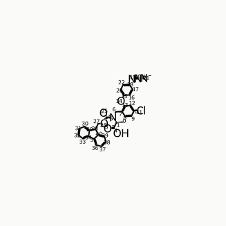 C[C@@H](C(=O)O)N(Cc1ccc(Cl)cc1Oc1ccc(N=[N+]=[N-])cc1)C(=O)OCC1c2ccccc2-c2ccccc21